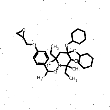 CCC1(C)CC(OC2CCCCC2)(OC2CCCCC2)C(C)C(C)(CC)N1OC(C)c1ccc(OCC2CO2)cc1